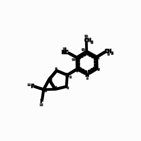 Cc1cnc(N2CC3C(C2)C3(F)F)c(C#N)c1C